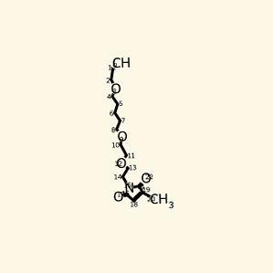 C#CCOCCCCCOCCOCCN1C(=O)C=C(C)C1=O